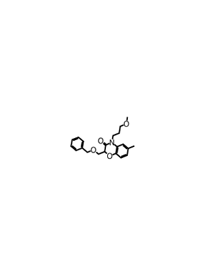 COCCCN1C(=O)C(COCc2ccccc2)Oc2ccc(C)cc21